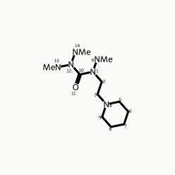 CNN(CCN1CCCCC1)C(=O)N(NC)NC